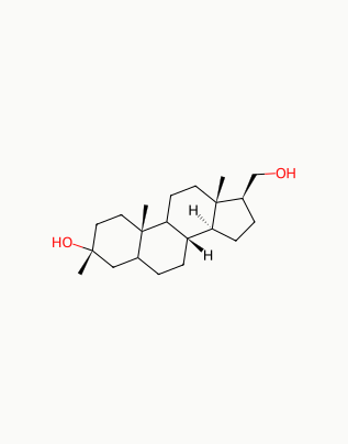 C[C@@]1(O)CC[C@@]2(C)C(CC[C@@H]3C2CC[C@]2(C)[C@@H](CO)CC[C@@H]32)C1